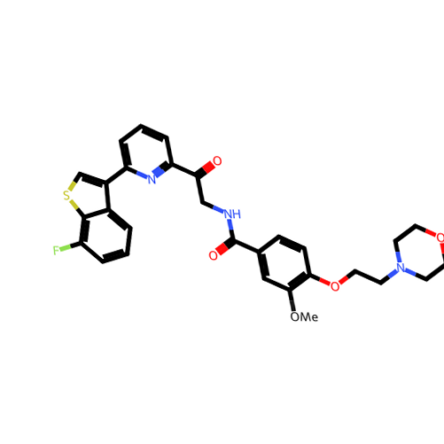 COc1cc(C(=O)NCC(=O)c2cccc(-c3csc4c(F)cccc34)n2)ccc1OCCN1CCOCC1